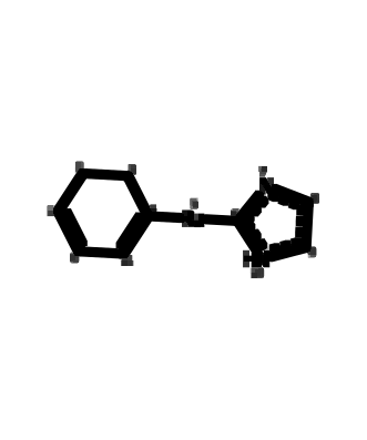 C1=CCC[C]([Ru][c]2ncc[nH]2)=C1